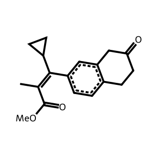 COC(=O)/C(C)=C(\c1ccc2c(c1)CC(=O)CC2)C1CC1